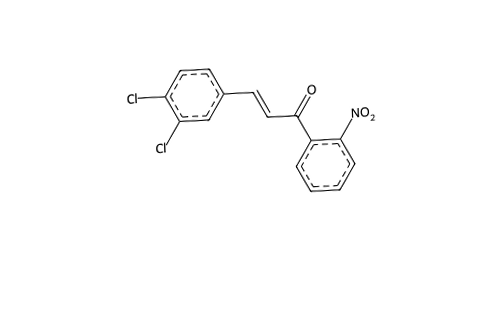 O=C(C=Cc1ccc(Cl)c(Cl)c1)c1ccccc1[N+](=O)[O-]